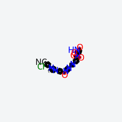 C[C@H]1CCN(c2ccc(C(=O)N3CCN(C4CN(c5ccc6c(c5)C(=O)N(C5CCC(=O)NC5=O)C6=O)C4)CC3)cc2)CCN1c1ccc(C#N)c(Cl)c1